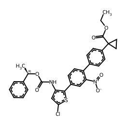 CCOC(=O)C1(c2ccc(-c3ccc(-c4sc(Cl)cc4NC(=O)O[C@H](C)c4ccccc4)cc3[N+](=O)[O-])cc2)CC1